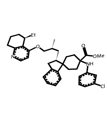 CC[C@@H]1CCCc2nccc(OC[C@H](C)C[C@H]3Cc4ccccc4C34CCC(Nc3cccc(Cl)c3)(C(=O)OC)CC4)c21